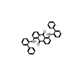 O=C1c2cccc(Nc3ccccc3-c3ccccc3)c2C(=O)c2cccc(Nc3ccccc3-c3ccccc3)c21